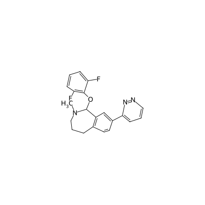 CN1CCCc2ccc(-c3cccnn3)cc2C1Oc1c(F)cccc1F